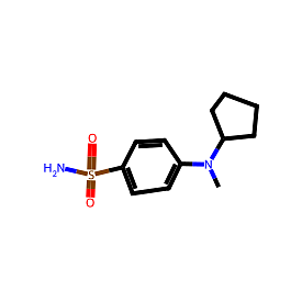 CN(c1ccc(S(N)(=O)=O)cc1)C1CCCC1